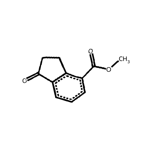 COC(=O)c1cccc2c1CCC2=O